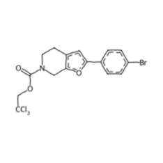 O=C(OCC(Cl)(Cl)Cl)N1CCc2cc(-c3ccc(Br)cc3)oc2C1